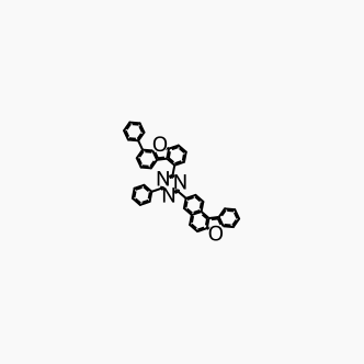 c1ccc(-c2nc(-c3ccc4c(ccc5oc6ccccc6c54)c3)nc(-c3cccc4oc5c(-c6ccccc6)cccc5c34)n2)cc1